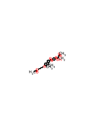 C=CC(=O)OCCCCCCOc1ccc2c(c1C)C(C)c1cc(C(=O)Oc3ccc(OC(O)C(=C)CC(=O)OC)cc3)ccc1-2